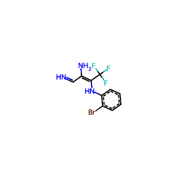 N=C/C(N)=C(\Nc1ccccc1Br)C(F)(F)F